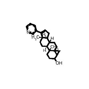 C[C@]12CC[C@H]3[C@@H](CCC45CC4C(O)CC[C@]35C)[C@@H]1CC=C2c1cccnc1